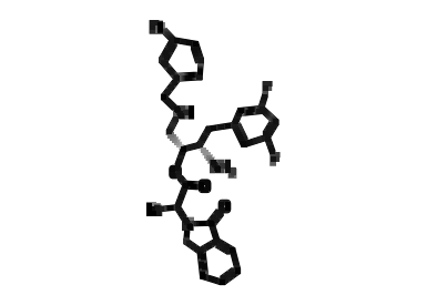 CCc1cccc(CNC[C@@H](OC(=O)C(CC)N2Cc3ccccc3C2=O)[C@@H](N)Cc2cc(F)cc(F)c2)c1